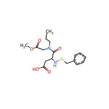 CCCN(CC(=O)OC)C(=O)C(CC(=O)O)NSCc1ccccc1